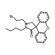 CCCCNC(=O)C1(CCCCBr)c2ccccc2Oc2ccccc21